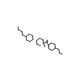 CCCCC1CCC([C@H]2CC[C@]3(CC2)C[C@@]2(CCC(CCC)CC2)C3=O)CC1